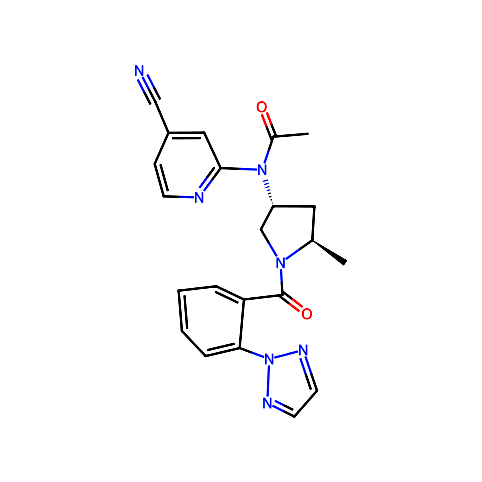 CC(=O)N(c1cc(C#N)ccn1)[C@@H]1C[C@@H](C)N(C(=O)c2ccccc2-n2nccn2)C1